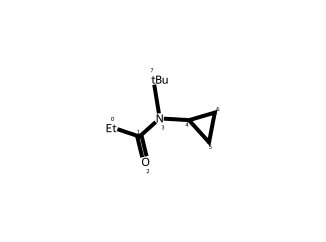 CCC(=O)N(C1CC1)C(C)(C)C